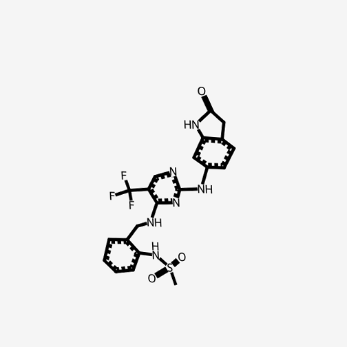 CS(=O)(=O)Nc1ccccc1CNc1nc(Nc2ccc3c(c2)NC(=O)C3)ncc1C(F)(F)F